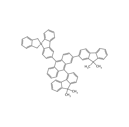 CC1(C)c2ccccc2-c2ccc(-c3ccc4c(-c5ccc6c(c5)-c5ccccc5[Si]65Cc6ccccc6C5)c5ccccc5c(-c5cccc6c5-c5ccccc5C6(C)C)c4c3)cc21